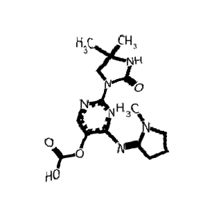 CN1CCCC1=Nc1nc(N2CC(C)(C)NC2=O)ncc1OC(=O)O